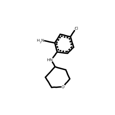 Nc1cc(Cl)ccc1NC1CCOCC1